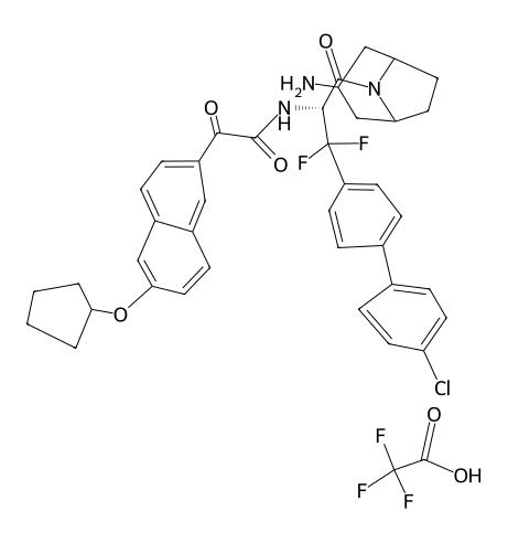 NC1CC2CCC(C1)N2C(=O)[C@@H](NC(=O)C(=O)c1ccc2cc(OC3CCCC3)ccc2c1)C(F)(F)c1ccc(-c2ccc(Cl)cc2)cc1.O=C(O)C(F)(F)F